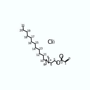 C=CC(=O)OCC[N+](C)(C)CCCCCCCCCCCC.[Cl-]